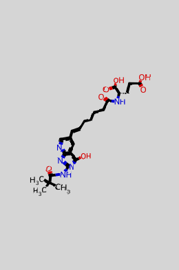 CC(C)(C)C(=O)Nc1nc(O)c2cc(C=CCCCCC(=O)N[C@@H](CCC(=O)O)C(=O)O)cnc2n1